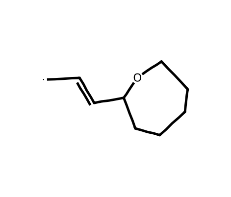 [CH2]C=CC1CCCCCO1